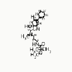 COC(C)(C)C(=O)NCCCN(C)CC[C@@]1(O)C[C@@H]2CC[C@H]1C=C2c1ccccc1